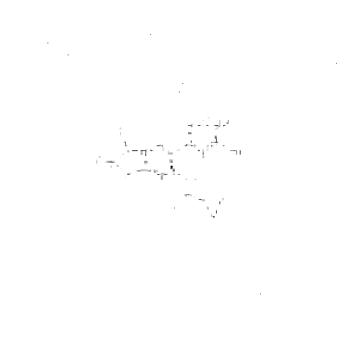 Cc1cc(-c2cc3c(cc2OCC2CC2)CN(C)[S+]3[O-])c[nH]c1=O